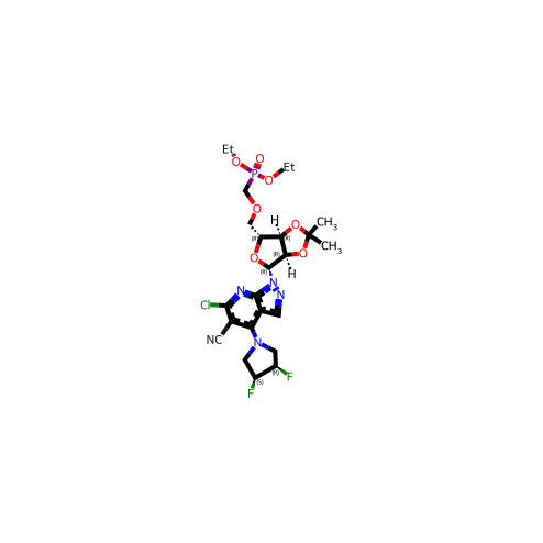 CCOP(=O)(COC[C@H]1O[C@@H](n2ncc3c(N4C[C@@H](F)[C@@H](F)C4)c(C#N)c(Cl)nc32)[C@@H]2OC(C)(C)O[C@@H]21)OCC